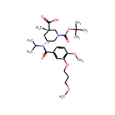 COCCCOc1cc(C(=O)N(C(C)C)[C@H]2CN(C(=O)OC(C)(C)C)C[C@@](C)(C(=O)O)C2)ccc1OC